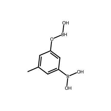 Cc1cc(OBO)cc(B(O)O)c1